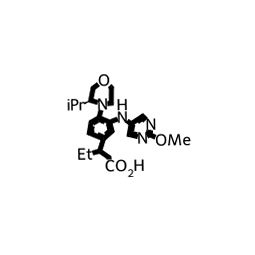 CCC(CC(=O)O)c1ccc(N2CCOC[C@H]2C(C)C)c(Nc2cnc(OC)nc2)c1